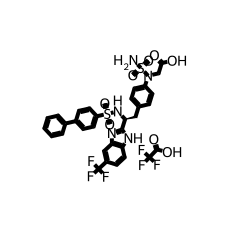 NS(=O)(=O)N(CC(=O)O)c1ccc(C[C@H](NS(=O)(=O)c2ccc(-c3ccccc3)cc2)c2nc3cc(C(F)(F)F)ccc3[nH]2)cc1.O=C(O)C(F)(F)F